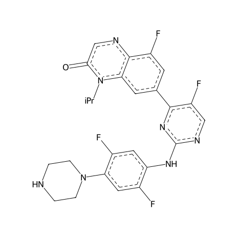 CC(C)n1c(=O)cnc2c(F)cc(-c3nc(Nc4cc(F)c(N5CCNCC5)cc4F)ncc3F)cc21